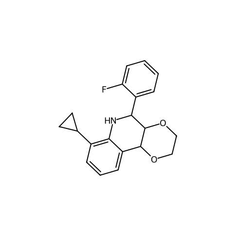 Fc1ccccc1C1Nc2c(C3CC3)cccc2C2OCCOC12